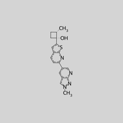 C[C@H]1CC[C@]1(O)c1cc2ccc(-c3cnc4nn(C)cc4c3)nc2s1